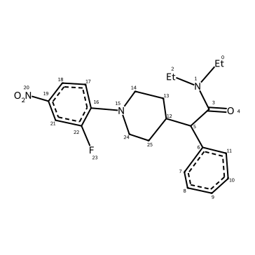 CCN(CC)C(=O)C(c1ccccc1)C1CCN(c2ccc([N+](=O)[O-])cc2F)CC1